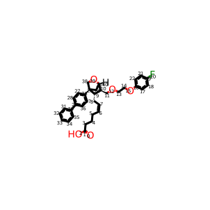 O=C(O)CCC/C=C\C[C@H]1[C@H](COCCOc2ccc(F)cc2)[C@@H]2C[C@@]1(c1ccc(-c3ccccc3)cc1)CO2